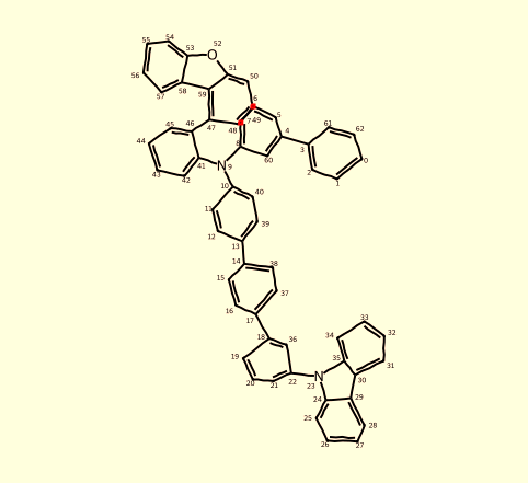 c1ccc(-c2cccc(N(c3ccc(-c4ccc(-c5cccc(-n6c7ccccc7c7ccccc76)c5)cc4)cc3)c3ccccc3-c3cccc4oc5ccccc5c34)c2)cc1